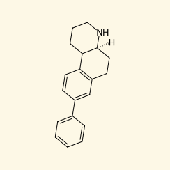 c1ccc(-c2ccc3c(c2)CC[C@@H]2NCCCC32)cc1